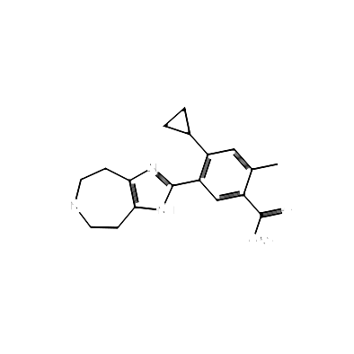 COC(=O)c1cc(-c2nc3c([nH]2)CCNCC3)c(C2CC2)cc1C